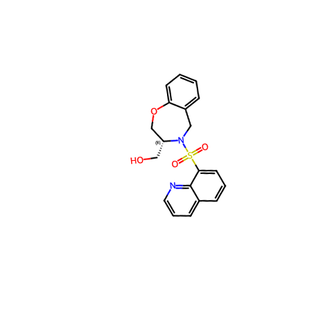 O=S(=O)(c1cccc2cccnc12)N1Cc2ccccc2OC[C@H]1CO